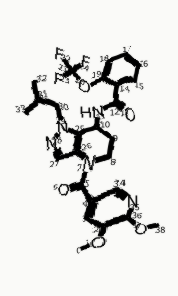 COc1cc(C(=O)N2CCC(NC(=O)c3ccccc3OC(F)(F)F)c3c2cnn3CC(C)C)cnc1OC